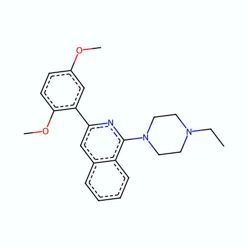 CCN1CCN(c2nc(-c3cc(OC)ccc3OC)cc3ccccc23)CC1